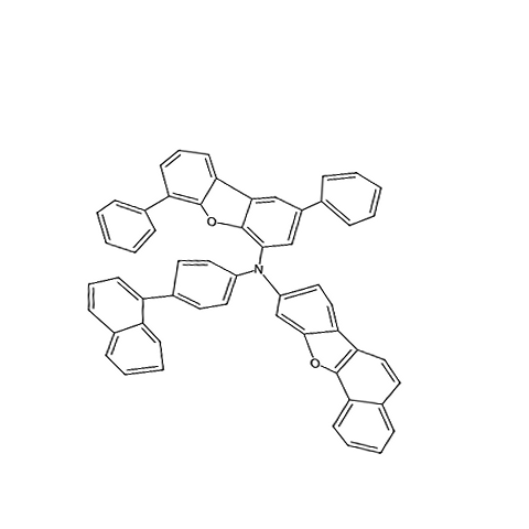 c1ccc(-c2cc(N(c3ccc(-c4cccc5ccccc45)cc3)c3ccc4c(c3)oc3c5ccccc5ccc43)c3oc4c(-c5ccccc5)cccc4c3c2)cc1